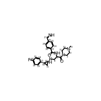 CN1CCN(C(=O)C(CN[C@@H]2C[C@H]2c2ccc(F)cc2)NC(=O)c2ccc(C=N)cc2)CC1